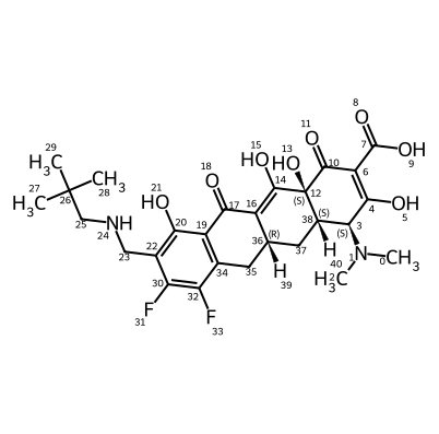 CN(C)[C@@H]1C(O)=C(C(=O)O)C(=O)[C@@]2(O)C(O)=C3C(=O)c4c(O)c(CNCC(C)(C)C)c(F)c(F)c4C[C@H]3C[C@@H]12